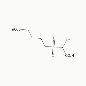 CCCCCCCCCCCCS(=O)(=O)C(CC)C(=O)O